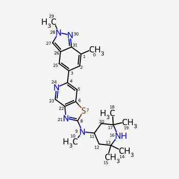 Cc1cc(-c2cc3sc(N(C)C4CC(C)(C)NC(C)(C)C4)nc3cn2)cc2cn(C)nc12